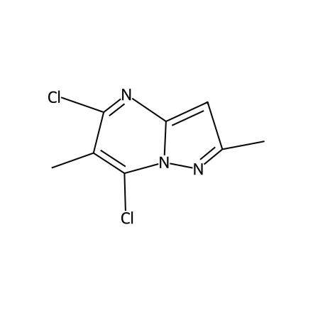 Cc1cc2nc(Cl)c(C)c(Cl)n2n1